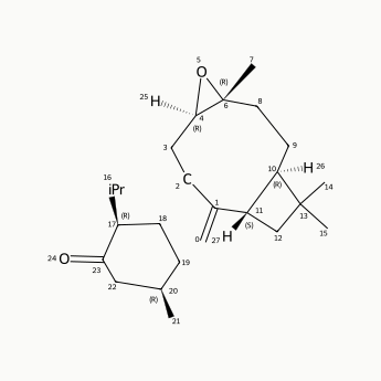 C=C1CC[C@H]2O[C@]2(C)CC[C@@H]2[C@@H]1CC2(C)C.CC(C)[C@H]1CC[C@@H](C)CC1=O